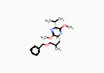 COC1=N[C@H](C(C)C)C(OC)=N[C@@H]1CC(C)COCc1ccccc1